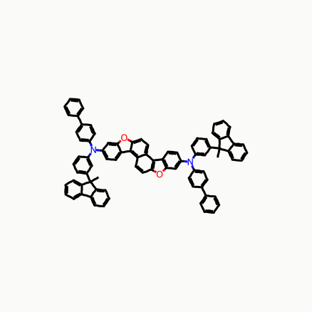 CC1(c2cccc(N(c3ccc(-c4ccccc4)cc3)c3ccc4c(c3)oc3ccc5c(ccc6oc7cc(N(c8ccc(-c9ccccc9)cc8)c8cccc(C9(C)c%10ccccc%10-c%10ccccc%109)c8)ccc7c65)c34)c2)c2ccccc2-c2ccccc21